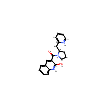 O=C(c1cc2ccccc2nc1O)N1CCCC1Cc1ccccn1